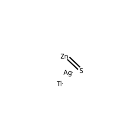 [Ag].[S]=[Zn].[Tl]